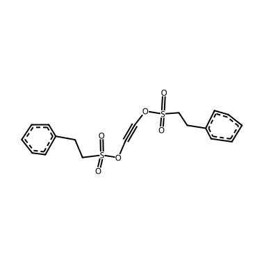 O=S(=O)(CCc1ccccc1)OC#COS(=O)(=O)CCc1ccccc1